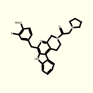 COc1ccc(Cc2nc3c(c4c2[nH]c2ccccc24)CCN(C(=O)CN2CCCC2)C3)cc1F